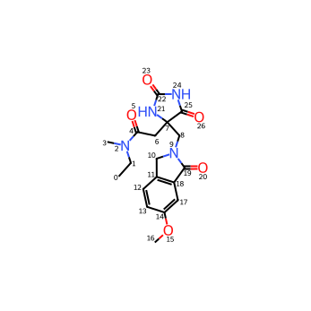 CCN(C)C(=O)CC1(CN2Cc3ccc(OC)cc3C2=O)NC(=O)NC1=O